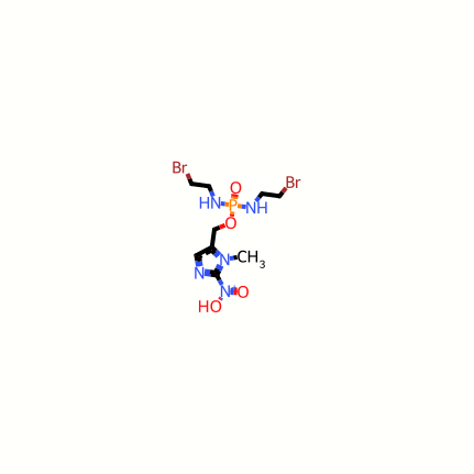 Cn1c(COP(=O)(NCCBr)NCCBr)cnc1[N+](=O)O